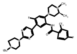 C[C@H]1CN(c2cc(F)c(-c3cnc(N4CCN(C(C)(C)C)CC4)nc3)cc2NC(=O)c2ccc(F)cc2C(F)(F)F)CCN1C